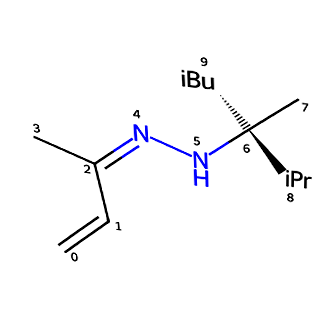 C=C/C(C)=N\N[C@](C)(C(C)C)[C@@H](C)CC